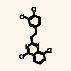 Clc1ccc(CCc2nc(Cl)c3cccc(Cl)c3n2)cc1Cl